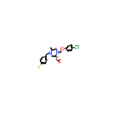 CC1CN(COc2ccc(Cl)cc2)C(=C=O)CN1Cc1ccc(F)cc1